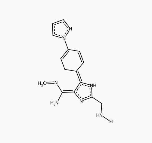 C=N/C(N)=c1/nc(CNCC)[nH]/c1=C1\C=CC(n2cccn2)=CC1